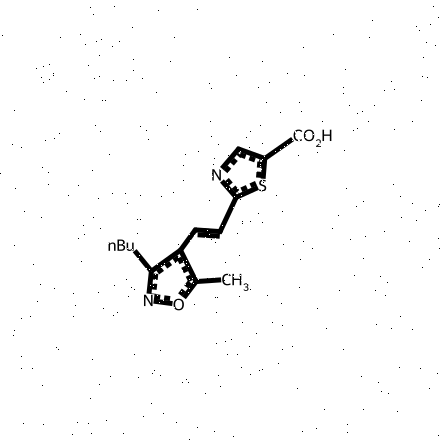 CCCCc1noc(C)c1C=Cc1ncc(C(=O)O)s1